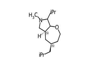 CC(C)C[C@@H]1CCOC2C(C(C)C)N(C)C[C@@H]2C1